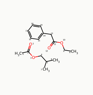 CC(=O)OCC(C)C.CCOC(=O)Cc1ccccc1